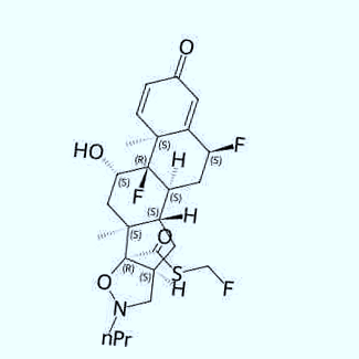 CCCN1C[C@@H]2C[C@H]3[C@@H]4C[C@H](F)C5=CC(=O)C=C[C@]5(C)[C@@]4(F)[C@@H](O)C[C@]3(C)[C@]2(C(=O)SCF)O1